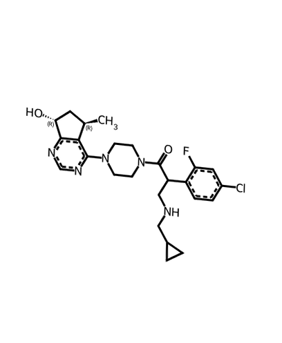 C[C@@H]1C[C@@H](O)c2ncnc(N3CCN(C(=O)C(CNCC4CC4)c4ccc(Cl)cc4F)CC3)c21